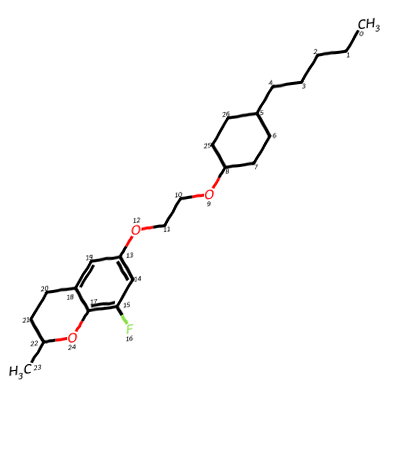 CCCCCC1CCC(OCCOc2cc(F)c3c(c2)CCC(C)O3)CC1